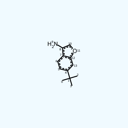 CC(C)(C)c1ccc2c(N)coc2c1